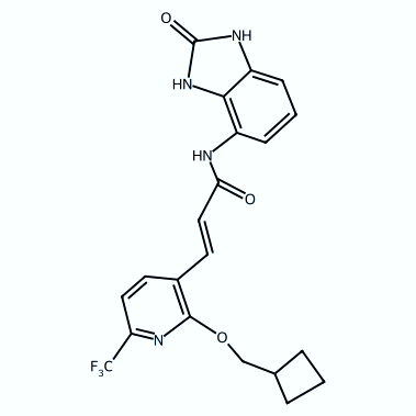 O=C(/C=C/c1ccc(C(F)(F)F)nc1OCC1CCC1)Nc1cccc2[nH]c(=O)[nH]c12